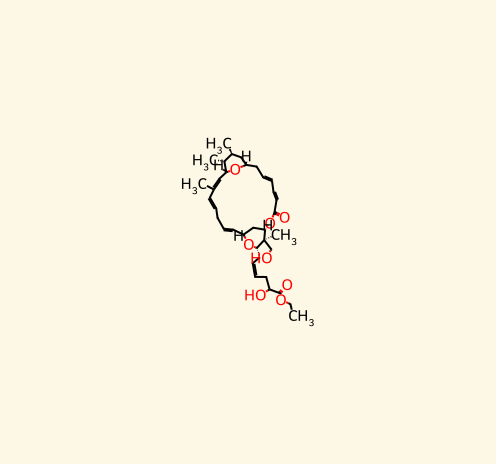 CCOC(=O)C(O)C/C=C\C[C@@H]1O[C@@H]2/C=C/C/C=C/C(C)=C\[C@H]3O[C@@H](C/C=C/C=C/C(=O)O[C@H](C2)[C@@]1(C)CO)C[C@H](C)[C@H]3C